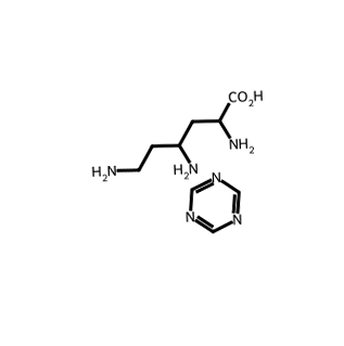 NCCC(N)CC(N)C(=O)O.c1ncncn1